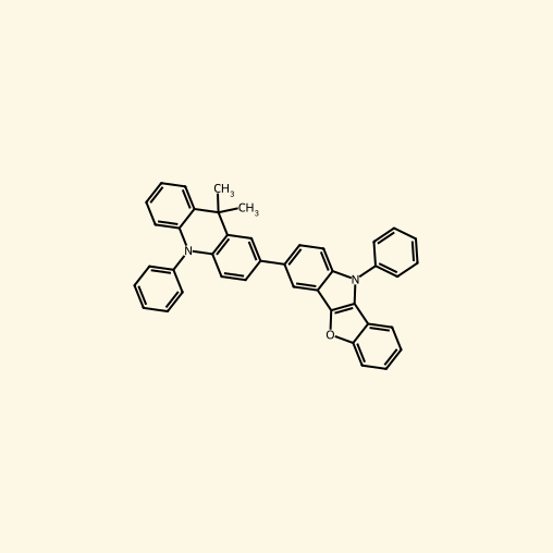 CC1(C)c2ccccc2N(c2ccccc2)c2ccc(-c3ccc4c(c3)c3oc5ccccc5c3n4-c3ccccc3)cc21